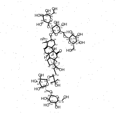 CCC[C@@]1(C)C2=CC[C@@H]3[C@@](C)(C(=O)C[C@]4(C)[C@@H]([C@@](C)(O)CC[C@@H](O[C@@H]5O[C@H](CO[C@@H]6O[C@H](CO)[C@@H](O)[C@H](O)[C@H]6O)[C@@H](O)[C@H](O)[C@H]5O)C(C)(C)O)CC[C@@]34C)[C@@H]2CC[C@@H]1O[C@@H]1O[C@H](CO[C@@H]2O[C@H](CO)[C@@H](O)[C@H](O)[C@H]2O)[C@@H](O)[C@H](O)[C@H]1O[C@@H]1O[C@H](CO)[C@@H](O)[C@H](O)[C@H]1O